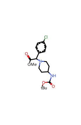 COC(=O)C(c1ccc(Cl)cc1)N1CCC(NC(=O)OC(C)(C)C)CC1